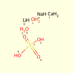 O.O.O=S(=O)(O)O.[CaH2].[LiH].[NaH]